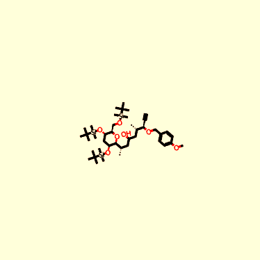 C#C[C@@H](OCc1ccc(OC)cc1)[C@@H](C)CC(O)C[C@H](C)[C@@H]1O[C@H](CO[Si](C)(C)C(C)(C)C)[C@H](O[Si](C)(C)C(C)(C)C)C[C@@H]1O[Si](C)(C)C(C)(C)C